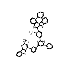 CC1C=C(c2cccc(-c3cc(-c4ccccc4)nc(C4=CC=C(c5nc6cccc(-c7ccccc7)c6c6c5sc5ccccc56)C(C)C4)n3)c2)c2sc3ccccc3c2C1